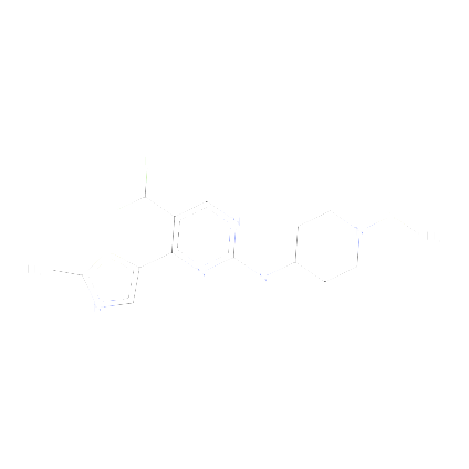 CSN1CCC(Nc2ncc(C(F)F)c(-c3cnc(C)s3)n2)CC1